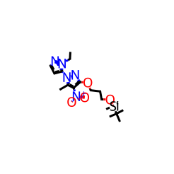 CCn1nccc1-n1nc(OCCCO[Si](C)(C)C(C)(C)C)c([N+](=O)[O-])c1C